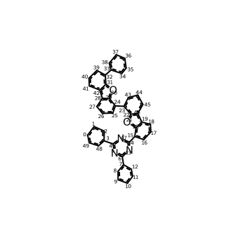 c1ccc(-c2nc(-c3ccccc3)nc(-c3cccc4c3oc3c(-c5cccc6c5oc5c(-c7ccccc7)cccc56)cccc34)n2)cc1